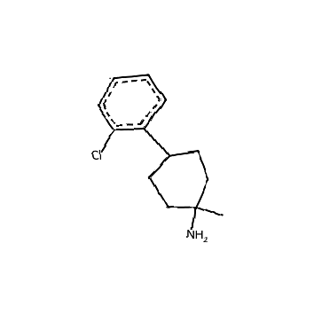 CC1(N)CCC(c2cc[c]cc2Cl)CC1